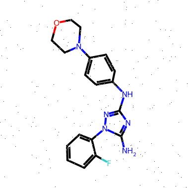 Nc1nc(Nc2ccc(N3CCOCC3)cc2)nn1-c1ccccc1F